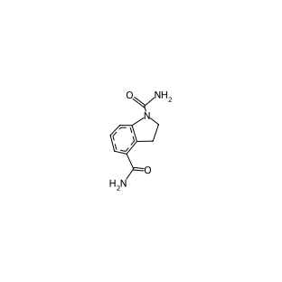 NC(=O)c1cccc2c1CCN2C(N)=O